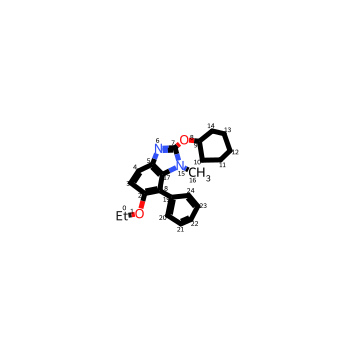 CCOc1ccc2nc(OC3CCCCC3)n(C)c2c1-c1ccccc1